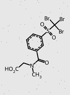 CN(CC(=O)O)C(=O)c1cccc(S(=O)(=O)C(Br)(Br)Br)c1